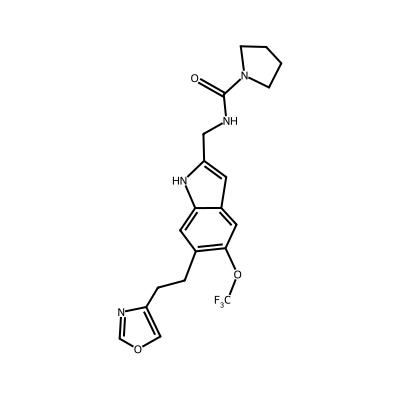 O=C(NCc1cc2cc(OC(F)(F)F)c(CCc3cocn3)cc2[nH]1)N1CCCC1